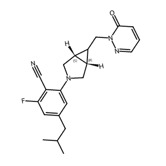 CC(C)Cc1cc(F)c(C#N)c(N2C[C@@H]3C(Cn4ncccc4=O)[C@@H]3C2)c1